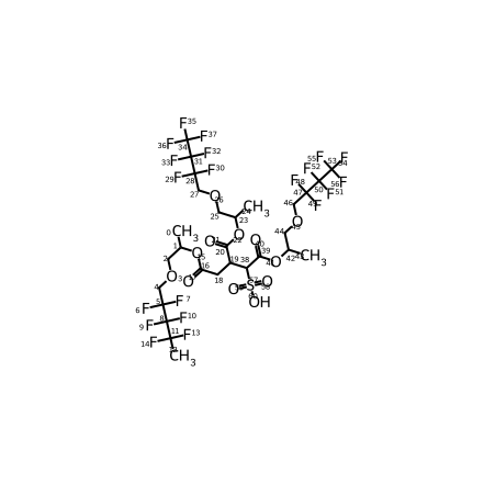 CC(COCC(F)(F)C(F)(F)C(C)(F)F)OC(=O)CC(C(=O)OC(C)COCC(F)(F)C(F)(F)C(F)(F)F)C(C(=O)OC(C)COCC(F)(F)C(F)(F)C(F)(F)F)S(=O)(=O)O